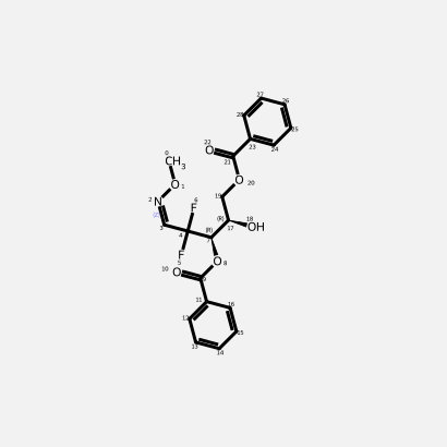 CO/N=C\C(F)(F)[C@H](OC(=O)c1ccccc1)[C@H](O)COC(=O)c1ccccc1